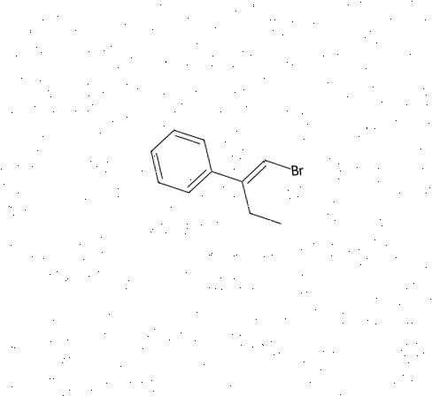 CCC(=CBr)c1ccccc1